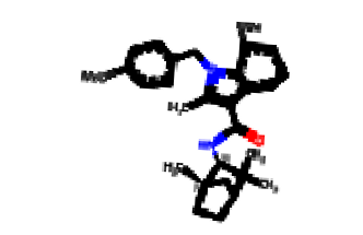 COc1ccc(Cn2c(C)c(C(=O)N[C@@H]3C(C)(C)C4CC[C@@]3(C)C4)c3cccc(OC)c32)cc1